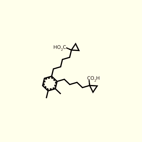 Cc1ccc(CCCCC2(C(=O)O)CC2)c(CCCCC2(C(=O)O)CC2)c1C